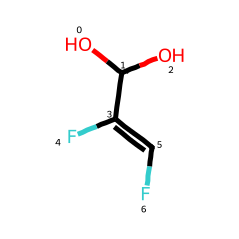 O[C](O)C(F)=CF